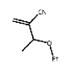 C=C(C#N)C(C)OCC